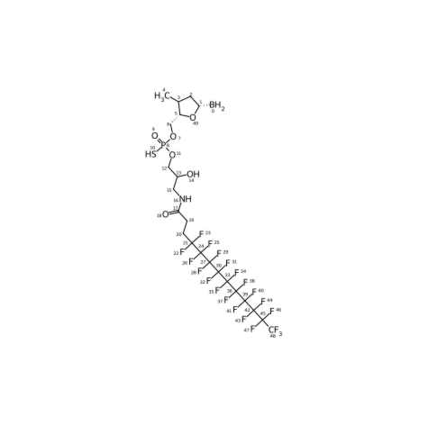 B[C@H]1CC(C)[C@@H](COP(=O)(S)OCC(O)CNC(=O)CCC(F)(F)C(F)(F)C(F)(F)C(F)(F)C(F)(F)C(F)(F)C(F)(F)C(F)(F)C(F)(F)C(F)(F)F)O1